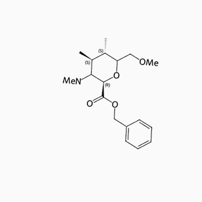 CNC1[C@@H](C)[C@H](C)C(COC)O[C@H]1C(=O)OCc1ccccc1